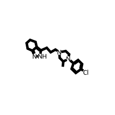 CC1CN(CCCc2[nH]nc3c2CCCC3)CCN1c1ccc(Cl)cc1